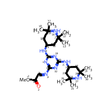 COC(=O)/C=N/c1nc(NC2CC(C)(C)NC(C)(C)C2)nc(NC2CC(C)(C)NC(C)(C)C2)n1